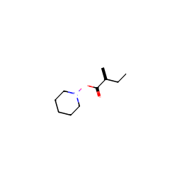 C=C(CC)C(=O)ON1CCCCC1